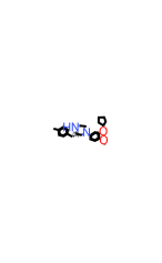 COc1ccc(N2CCN[C@@H](Cc3ccc(C)cc3)C2)cc1OC1CCCC1